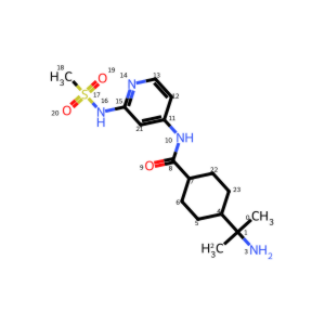 CC(C)(N)C1CCC(C(=O)Nc2ccnc(NS(C)(=O)=O)c2)CC1